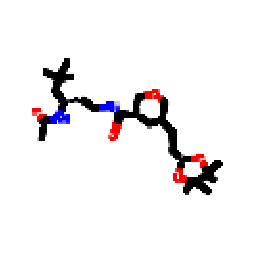 CC(=O)N[C@@H](CCNC(=O)C1COCC(CCB2OC(C)(C)C(C)(C)O2)C1)CC(C)(C)C